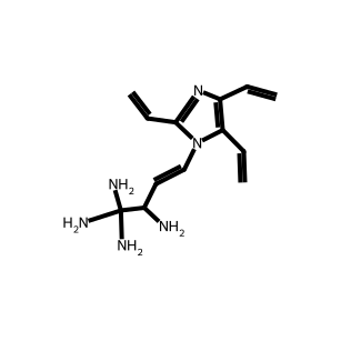 C=Cc1nc(C=C)n(C=CC(N)C(N)(N)N)c1C=C